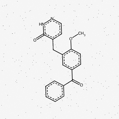 COc1ccc(C(=O)c2ccccc2)cc1Cc1ccn[nH]c1=O